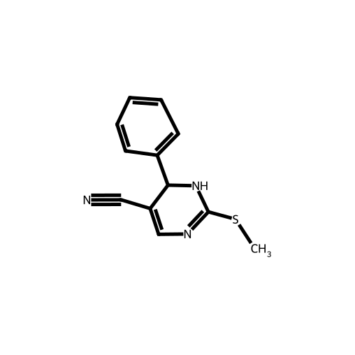 CSC1=NC=C(C#N)C(c2ccccc2)N1